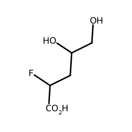 O=C(O)C(F)CC(O)CO